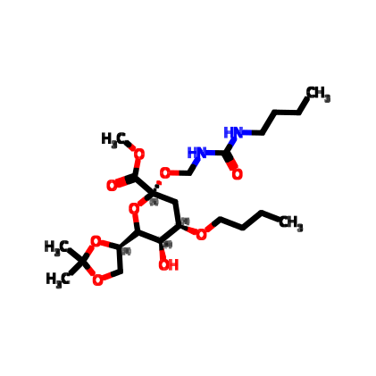 CCCCNC(=O)NCO[C@]1(C(=O)OC)C[C@@H](OCCCC)[C@@H](O)C([C@H]2COC(C)(C)O2)O1